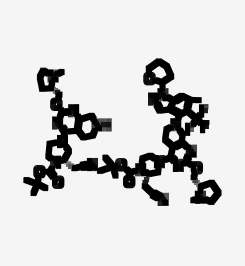 CN1CCC[C@H]1COc1nc2c(c(N3CCN(C(=O)OC(C)(C)C)[C@@H](CC#N)C3)n1)CCNC2.Cc1cc2c(cnn2C2CCCCO2)c(N2CCc3c(nc(OC[C@@H]4CCCN4C)nc3N3CCN(C(=O)OC(C)(C)C)[C@@H](CC#N)C3)C2)c1C(F)(F)F